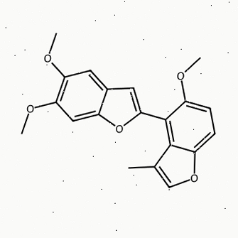 COc1cc2cc(-c3c(OC)ccc4o[c]c(C)c34)oc2cc1OC